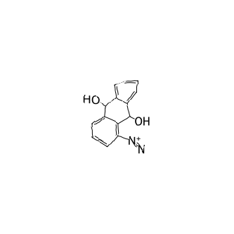 N#[N+]c1cccc2c1C(O)c1ccccc1C2O